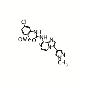 COc1ccc(Cl)cc1NC(=O)Nc1nccn2c(-c3cnn(C)c3)cnc12